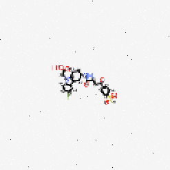 CS(=O)(=O)c1ccc(C(=O)CCC(=O)N[C@H]2CCc3c(c4cc(F)ccc4n3CC(=O)O)C2)cc1